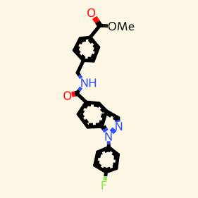 COC(=O)c1ccc(CNC(=O)c2ccc3c(cnn3-c3ccc(F)cc3)c2)cc1